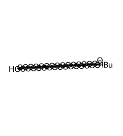 CCC(C)[Si](=O)OOOOOOOOOOOOOOOOOOOOOOOOOOOOOOO